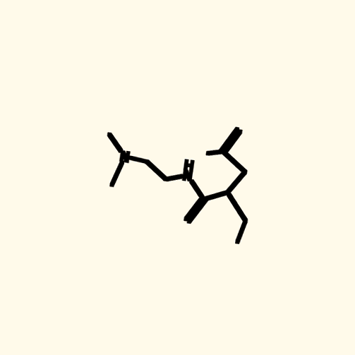 C=C(C)CC(CC)C(=C)NCCN(C)C